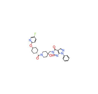 O=c1c2cnn(-c3ccccc3)c2ncn1CC1(O)CCN(C(=O)[C@H]2CC[C@H](Oc3ccc(F)cn3)CC2)CC1